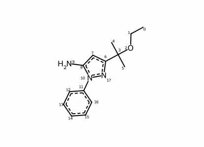 CCOC(C)(C)c1cc(N)n(-c2ccccc2)n1